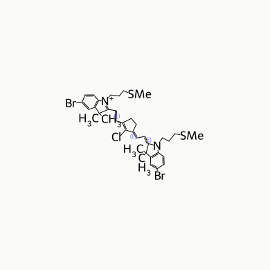 CSCCCN1/C(=C/C=C2\CCC(/C=C/C3=[N+](CCCSC)c4ccc(Br)cc4C3(C)C)=C2Cl)C(C)(C)c2cc(Br)ccc21